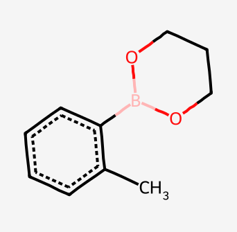 Cc1ccccc1B1OCCCO1